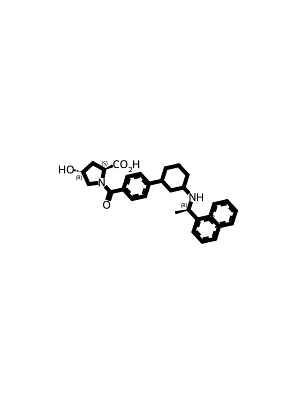 C[C@@H](NC1CCCC(c2ccc(C(=O)N3C[C@H](O)C[C@H]3C(=O)O)cc2)C1)c1cccc2ccccc12